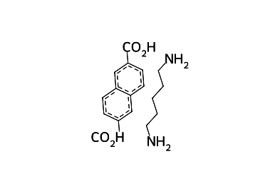 NCCCCCN.O=C(O)c1ccc2cc(C(=O)O)ccc2c1